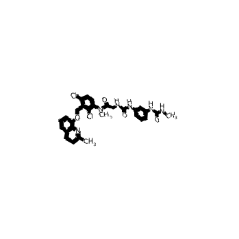 CNC(=O)Nc1cccc(NC(=O)NCC(=O)N(C)c2ccc(Cl)c(COc3cccc4ccc(C)nc34)c2Cl)c1